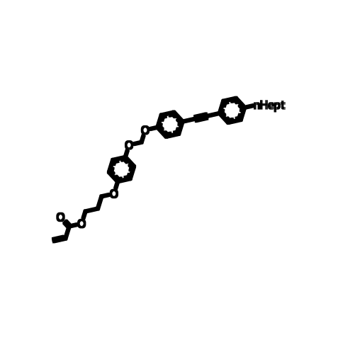 C=CC(=O)OCCCOc1ccc(OCOc2ccc(C#Cc3ccc(CCCCCCC)cc3)cc2)cc1